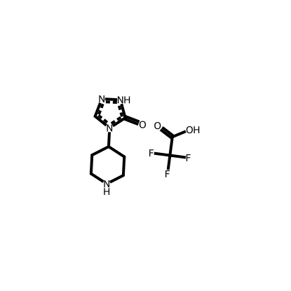 O=C(O)C(F)(F)F.O=c1[nH]ncn1C1CCNCC1